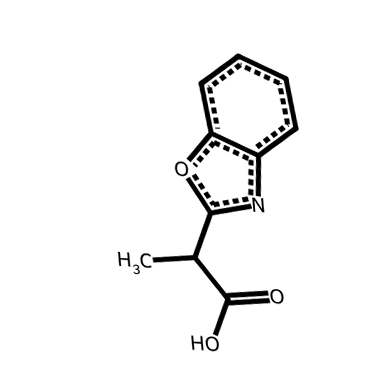 CC(C(=O)O)c1nc2ccccc2o1